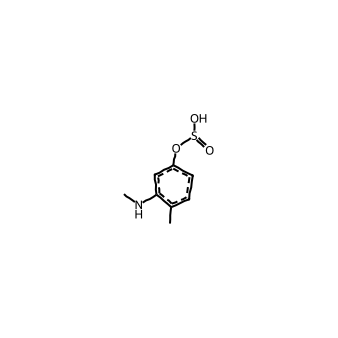 CNc1cc(OS(=O)O)ccc1C